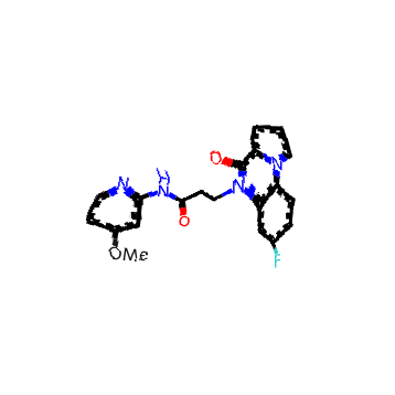 COc1ccnc(NC(=O)CCn2c(=O)c3cccn3c3ccc(F)cc32)c1